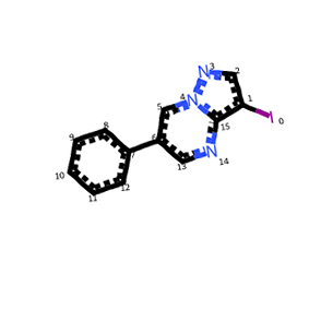 Ic1cnn2cc(-c3ccccc3)cnc12